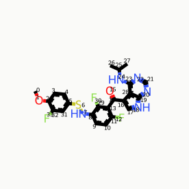 COc1ccc(SNc2ccc(F)c(C(=O)c3c[nH]c4ncnc(NC(C)C)c34)c2F)cc1F